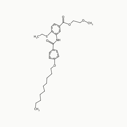 CCCCCCCCCCOc1ccc(C(=O)Nc2cc(C(=O)OCCOC)ccc2SCC)cc1